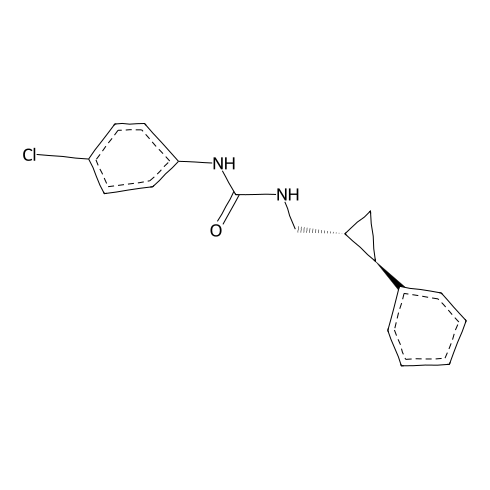 O=C(NC[C@@H]1C[C@H]1c1ccccc1)Nc1ccc(Cl)cc1